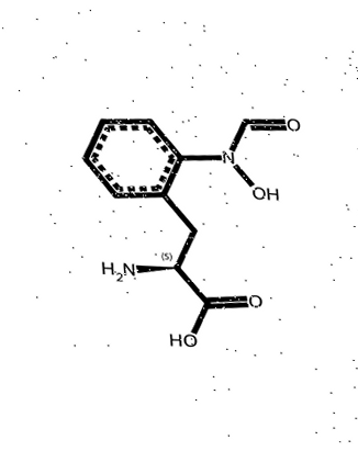 N[C@@H](Cc1ccccc1N(O)C=O)C(=O)O